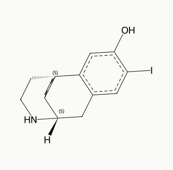 Oc1cc2c(cc1I)C[C@@H]1NCC[C@]23CCCCC13